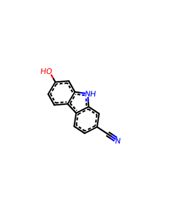 N#Cc1ccc2c(c1)[nH]c1cc(O)ccc12